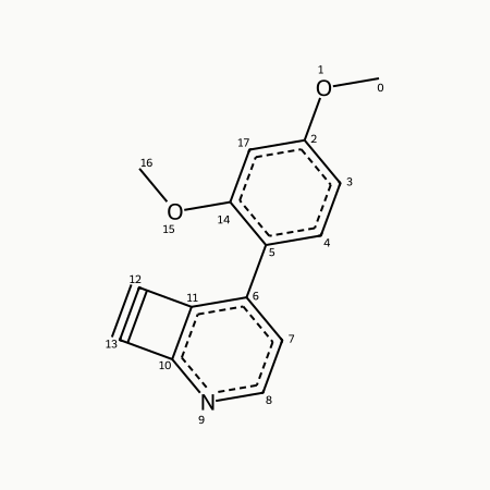 COc1ccc(-c2ccnc3c2C#C3)c(OC)c1